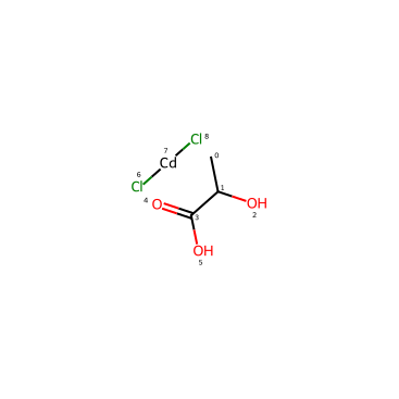 CC(O)C(=O)O.[Cl][Cd][Cl]